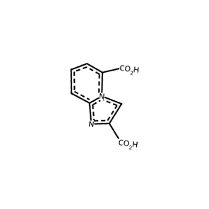 O=C(O)c1cn2c(C(=O)O)cccc2n1